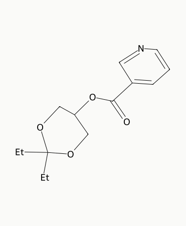 CCC1(CC)OCC(OC(=O)c2cccnc2)CO1